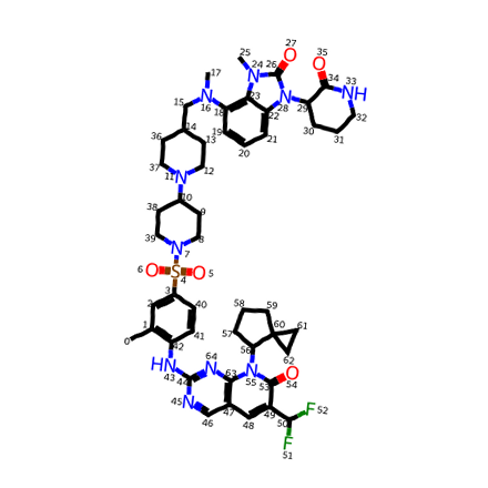 Cc1cc(S(=O)(=O)N2CCC(N3CCC(CN(C)c4cccc5c4n(C)c(=O)n5C4CCCNC4=O)CC3)CC2)ccc1Nc1ncc2cc(C(F)F)c(=O)n(C3CCCC34CC4)c2n1